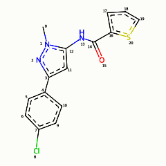 Cn1nc(-c2ccc(Cl)cc2)cc1NC(=O)c1cccs1